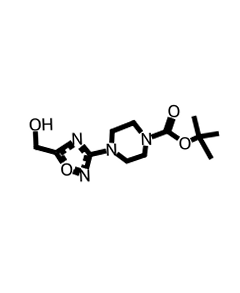 CC(C)(C)OC(=O)N1CCN(c2noc(CO)n2)CC1